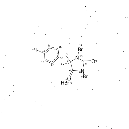 Br.CC1(C)C(=O)N(Br)C(=O)N1Br.Ic1ccccc1